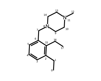 CCc1cccc(CN2CCN(C)CC2)c1CC